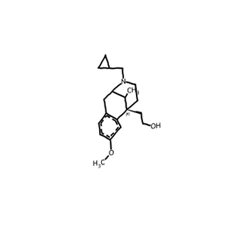 COc1ccc2c(c1)[C@@]1(CCO)CCN(CC3CC3)C(C2)C1C